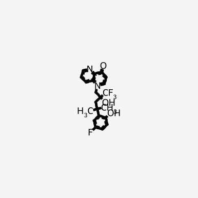 CC(C)(CC(O)(Cn1ccc(=O)c2ncccc21)C(F)(F)F)c1cc(F)ccc1O